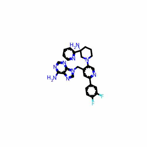 Nc1ncnc2c1ncn2Cc1cc(-c2ccc(F)c(F)c2)ncc1N1CCC[C@](N)(c2ccccn2)C1